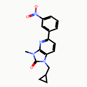 Cn1c(=O)n(CC2CC2)c2ccc(-c3cccc([N+](=O)[O-])c3)nc21